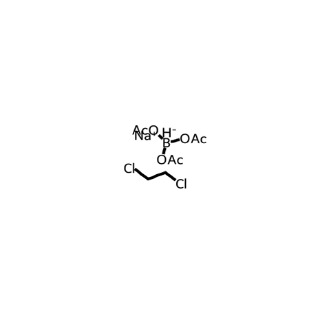 CC(=O)O[BH-](OC(C)=O)OC(C)=O.ClCCCl.[Na+]